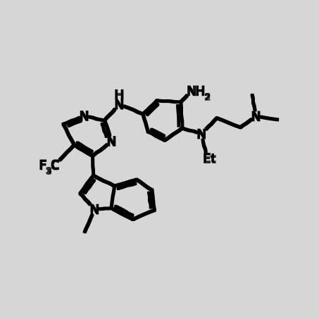 CCN(CCN(C)C)c1ccc(Nc2ncc(C(F)(F)F)c(-c3cn(C)c4ccccc34)n2)cc1N